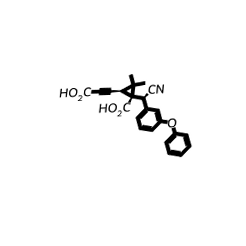 CC1(C)[C@H](C#CC(=O)O)[C@@]1(C(=O)O)[C@@H](C#N)c1cccc(Oc2ccccc2)c1